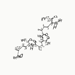 CC(C)NC(CCC(C)C(=O)NC(CCC(C)C(=O)NC(CCC(C)C(=O)C(C)C)C(=O)C(C)C)C(=O)C(C)C)C(=O)C(C)C